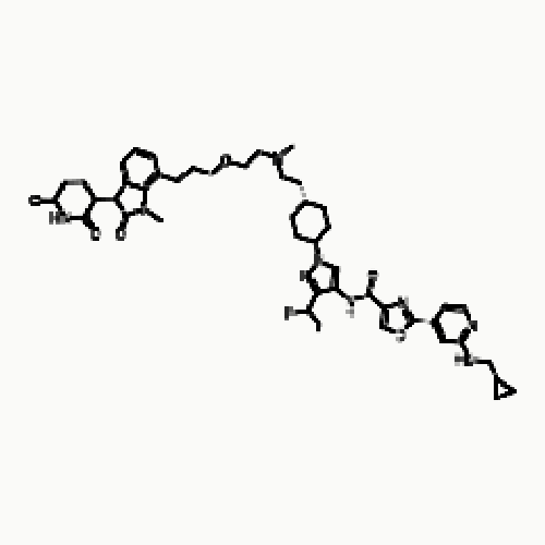 CN(CCOCCCc1cccc2c1N(C)C(=O)C2C1CCC(=O)NC1=O)CC[C@H]1CC[C@H](n2cc(NC(=O)c3coc(-c4ccnc(NCC5CC5)c4)n3)c(C(F)F)n2)CC1